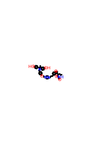 CCCC(C(=O)NC=O)c1coc2ccc(CCCN3CCN(CCOc4ccc(Cn5c(-c6ccc(O)cc6)c(C)c6cc(O)ccc65)cc4)CC3)cc12